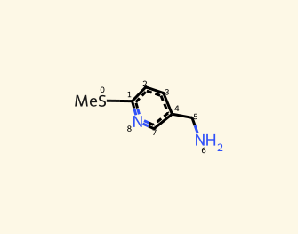 CSc1ccc(CN)cn1